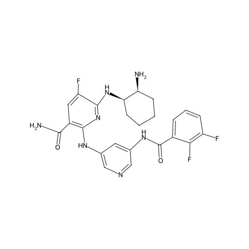 NC(=O)c1cc(F)c(N[C@@H]2CCCC[C@@H]2N)nc1Nc1cncc(NC(=O)c2cccc(F)c2F)c1